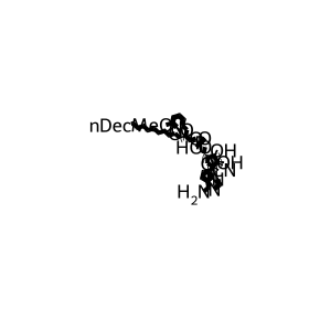 CCCCCCCCCCCCCCCCCCOC[C@H](COP(=O)(O)OC[C@H]1O[C@@](C#N)(c2ccc3c(N)ncnn23)[C@H](O)[C@@H]1O)Oc1cccc(OC)n1